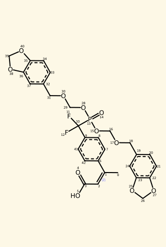 C/C(=C/C(=O)O)c1ccc(C(F)(F)P(=O)(OCOCc2ccc3c(c2)OCO3)OCOCc2ccc3c(c2)OCO3)cc1